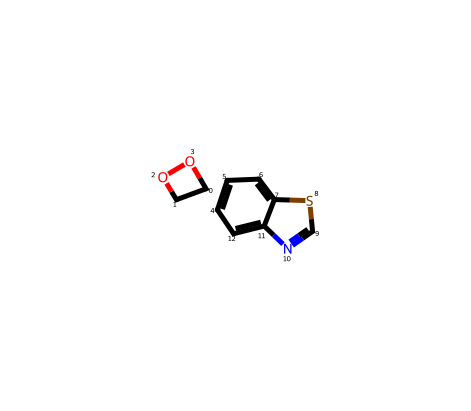 C1COO1.c1ccc2scnc2c1